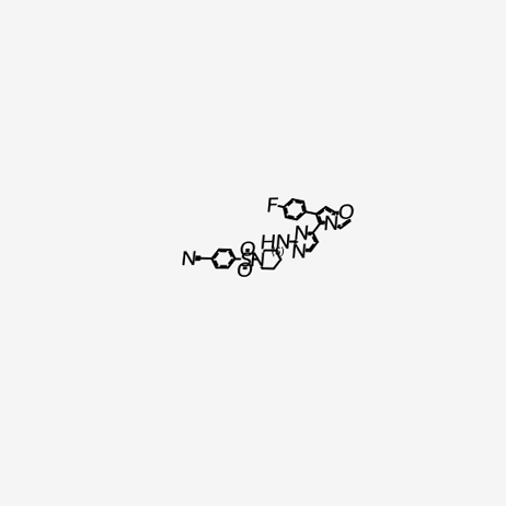 N#Cc1ccc(S(=O)(=O)N2CCC[C@H](Nc3nccc(-c4c(-c5ccc(F)cc5)cc5occn45)n3)C2)cc1